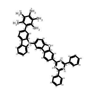 Bc1c(B)c(B)c(-c2ccc3c4ccccc4n(-c4ccc5oc6cc(-c7nc(-c8ccccc8)nc(-c8ccccc8)n7)ccc6c5c4)c3c2)c(B)c1B